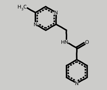 Cc1cnc(CNC(=O)c2ccncc2)cn1